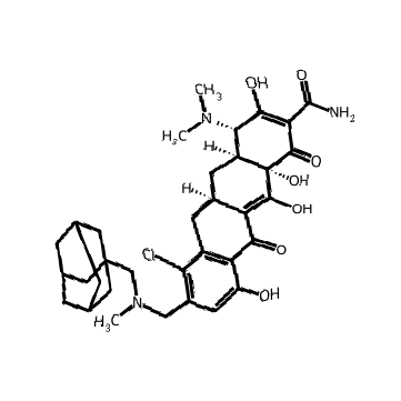 CN(Cc1cc(O)c2c(c1Cl)C[C@H]1C[C@H]3[C@H](N(C)C)C(O)=C(C(N)=O)C(=O)[C@@]3(O)C(O)=C1C2=O)CC12CC3CC(CC(C3)C1)C2